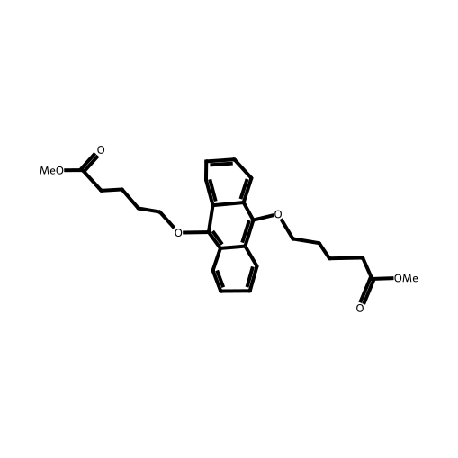 COC(=O)CCCCOc1c2ccccc2c(OCCCCC(=O)OC)c2ccccc12